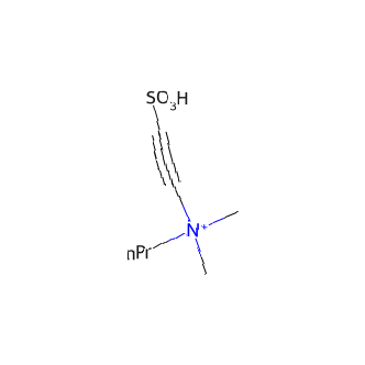 CCC[N+](C)(C)C#CS(=O)(=O)O